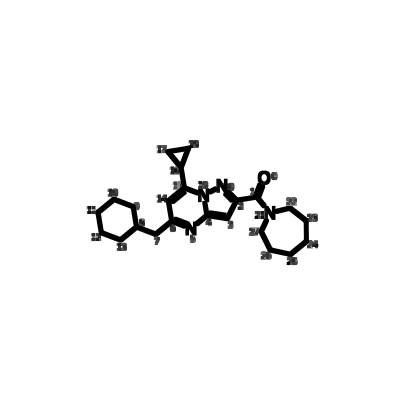 O=C(c1cc2nc(CC3CCCCC3)cc(C3CC3)n2n1)N1CCCCCC1